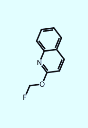 FCOc1ccc2ccccc2n1